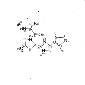 Cc1ncsc1-c1cn(C)c([C@@H]2C[C@@H](O)CN2C(=O)[C@@H](NC(C)C)C(C)(C)C)n1